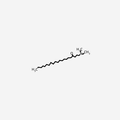 CCCCCCCCCCCCCCCCCC(=O)CCCN(CC)CC